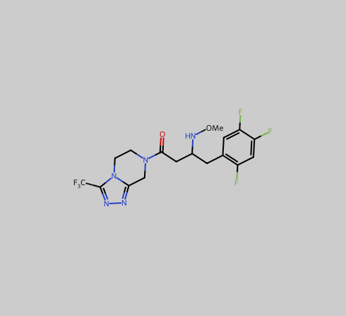 CONC(CC(=O)N1CCn2c(nnc2C(F)(F)F)C1)Cc1cc(F)c(F)cc1F